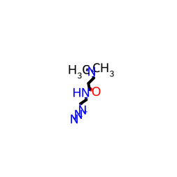 CN(C)CCC(=O)NCCN=[N+]=[N-]